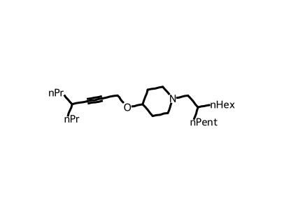 CCCCCCC(CCCCC)CN1CCC(OCC#CC(CCC)CCC)CC1